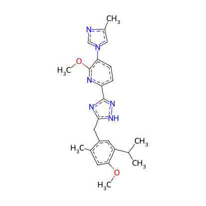 COc1cc(C)c(Cc2nc(-c3ccc(-n4cnc(C)c4)c(OC)n3)n[nH]2)cc1C(C)C